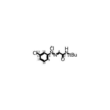 CC(C)(C)NC(=O)C=NN(Cl)c1cccc(Cl)c1